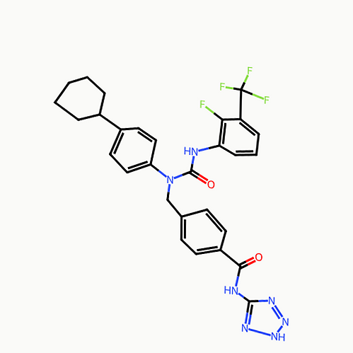 O=C(Nc1nn[nH]n1)c1ccc(CN(C(=O)Nc2cccc(C(F)(F)F)c2F)c2ccc(C3CCCCC3)cc2)cc1